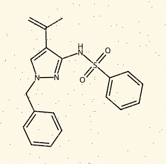 C=C(C)c1cn(Cc2ccccc2)nc1NS(=O)(=O)c1ccccc1